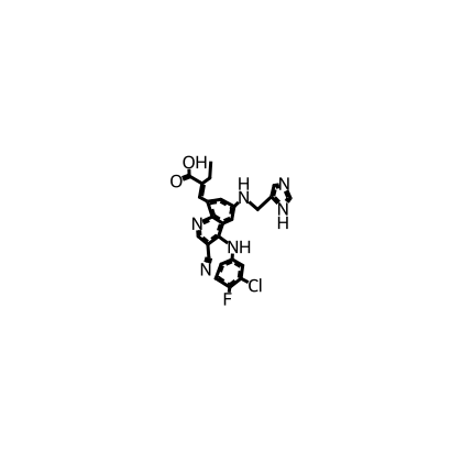 CC/C(=C\c1cc(NCc2cnc[nH]2)cc2c(Nc3ccc(F)c(Cl)c3)c(C#N)cnc12)C(=O)O